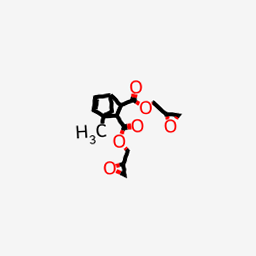 CC12C=CC(C1)C(C(=O)OCC1CO1)C2C(=O)OCC1CO1